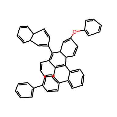 C1=CC2C=CC(C3=c4ccccc4=C(c4ccccc4-c4ccc(-c5ccccc5)cc4)C4C=CC(Oc5ccccc5)=CC34)=CC2C=C1